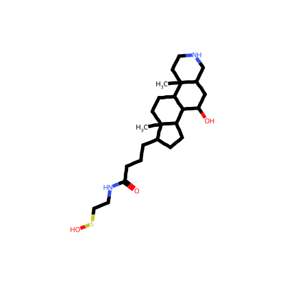 CC12CCC3C(C(O)CC4CNCCC43C)C1CCC2CCCC(=O)NCCSO